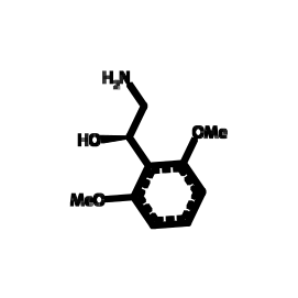 COc1cccc(OC)c1[C@@H](O)CN